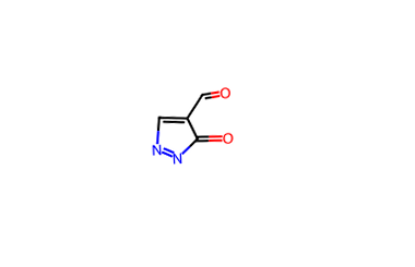 O=CC1=CN=NC1=O